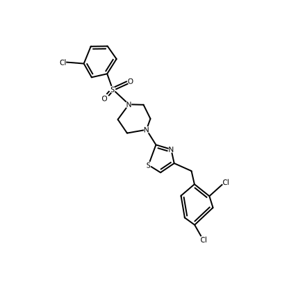 O=S(=O)(c1cccc(Cl)c1)N1CCN(c2nc(Cc3ccc(Cl)cc3Cl)cs2)CC1